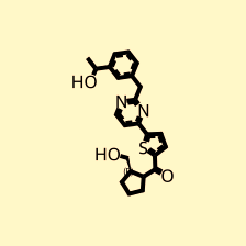 CC(O)c1cccc(Cc2nccc(-c3ccc(C(=O)C4CCC[C@H]4CO)s3)n2)c1